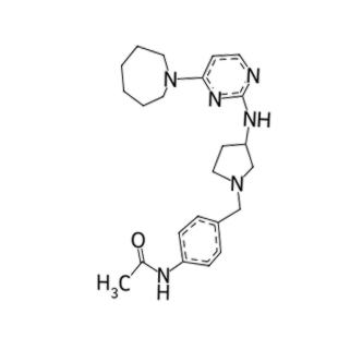 CC(=O)Nc1ccc(CN2CCC(Nc3nccc(N4CCCCCC4)n3)C2)cc1